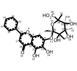 CC1(O)[C@](C)(Oc2cc3oc(-c4ccccc4)cc(=O)c3c(O)c2O)OC(C)(C(=O)O)[C@@](C)(O)[C@@]1(C)O